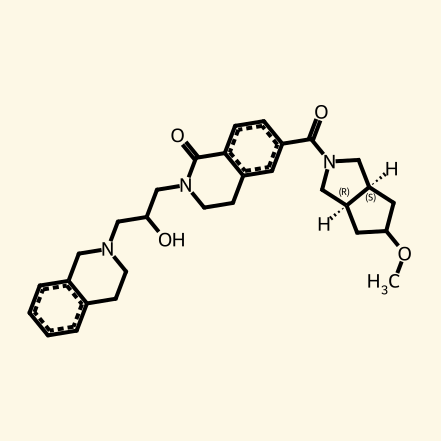 COC1C[C@@H]2CN(C(=O)c3ccc4c(c3)CCN(CC(O)CN3CCc5ccccc5C3)C4=O)C[C@@H]2C1